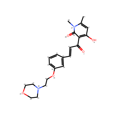 Cc1cc(O)c(C(=O)C=Cc2cccc(OCCN3CCOCC3)c2)c(=O)n1C